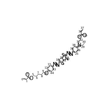 C=CC(=O)OCCCCCOc1ccc(/N=N/c2cc3sc(/N=N/c4ccc(N(CC)CCOC(=O)C=C)cc4)nc3s2)cc1